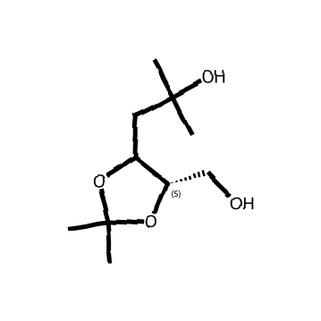 CC(C)(O)CC1OC(C)(C)O[C@H]1CO